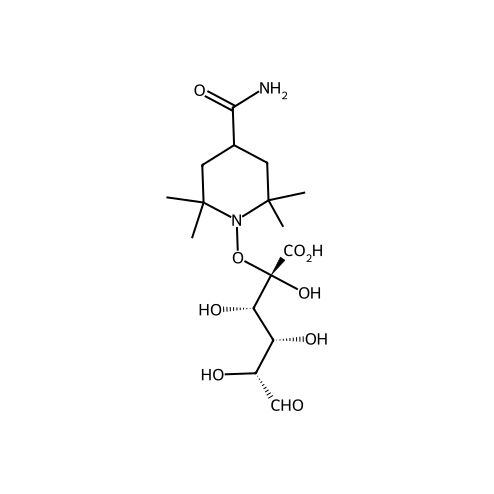 CC1(C)CC(C(N)=O)CC(C)(C)N1O[C@@](O)(C(=O)O)[C@@H](O)[C@H](O)[C@@H](O)C=O